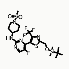 CC(C)(C)[Si](C)(C)OCc1nc(C(F)(F)F)c(-c2nc(NC3CCN(S(C)(=O)=O)CC3)ncc2F)s1